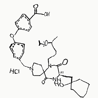 CC(O)CCN1C(=O)[C@@H](CC2(O)CCCCC2)NC(=O)C12CCN(Cc1ccc(Oc3ccc(C(=O)O)cc3)cc1)CC2.Cl